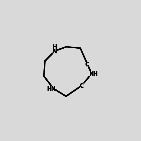 C1CNCCNCCNC1